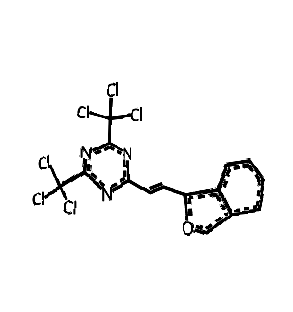 ClC(Cl)(Cl)c1nc(C=Cc2occ3ccccc23)nc(C(Cl)(Cl)Cl)n1